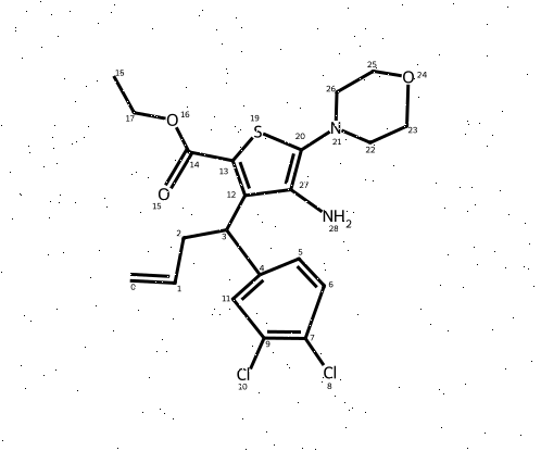 C=CCC(c1ccc(Cl)c(Cl)c1)c1c(C(=O)OCC)sc(N2CCOCC2)c1N